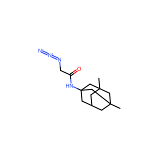 CC12CC3CC(C)(C1)CC(NC(=O)CN=[N+]=[N-])(C3)C2